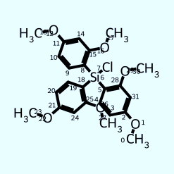 COc1ccc([Si](Cl)(c2ccc(OC)cc2OC)c2ccc(OC)cc2OC)c(OC)c1